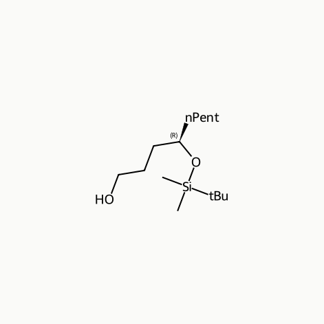 CCCCC[C@H](CCCO)O[Si](C)(C)C(C)(C)C